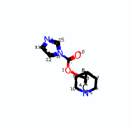 O=C(OC1CN2CCC1CC2)n1ccnc1